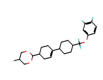 CCCCC1COC(C2CC=C(C3CCC(C(F)(F)Oc4ccc(F)c(F)c4)CC3)CC2)OC1